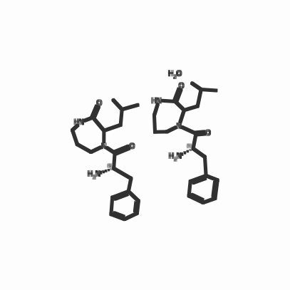 CC(C)CC1C(=O)NCCCN1C(=O)[C@@H](N)Cc1ccccc1.CC(C)CC1C(=O)NCCCN1C(=O)[C@@H](N)Cc1ccccc1.O